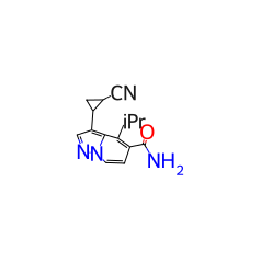 CC(C)c1c(C(N)=O)ccn2ncc(C3CC3C#N)c12